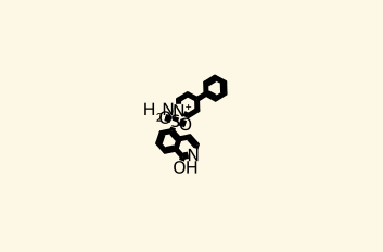 N[N+]1(S(=O)(=O)c2cccc3c(O)nccc23)CCC(c2ccccc2)CC1